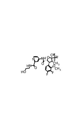 COc1c([C@H]2[C@H](C(=O)Nc3ccnc(C(=O)NCCO)c3)O[C@@](C)(C(F)(F)F)[C@H]2C)ccc(F)c1F